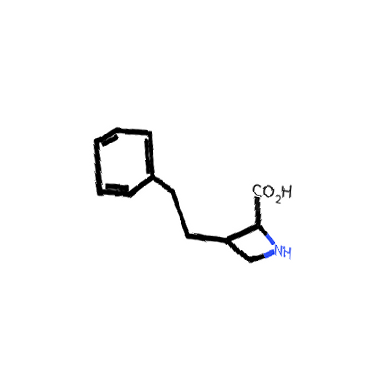 O=C(O)C1NCC1CCc1ccccc1